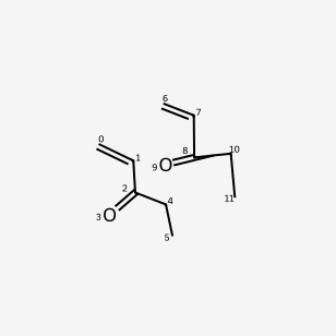 C=CC(=O)CC.C=CC(=O)CC